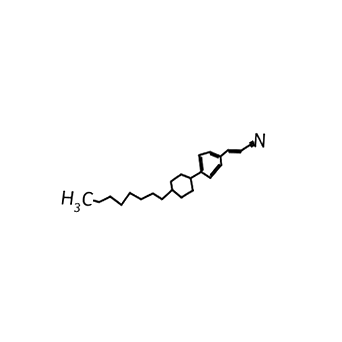 CCCCCCCCC1CCC(c2ccc(C=CC#N)cc2)CC1